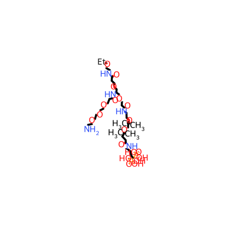 CCOCCNC(=O)CCOCC(COCCC(=O)NCCOC(C)(C)COC(C)(C)CCC(=O)NCCCC(O)(P(=O)(O)O)P(=O)(O)O)NC(=O)CCOCCOCCOCCN